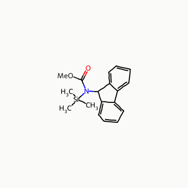 COC(=O)N(C1c2ccccc2-c2ccccc21)[Si](C)(C)C